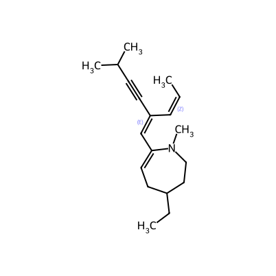 C/C=C\C(C#CC(C)C)=C/C1=CCC(CC)CCN1C